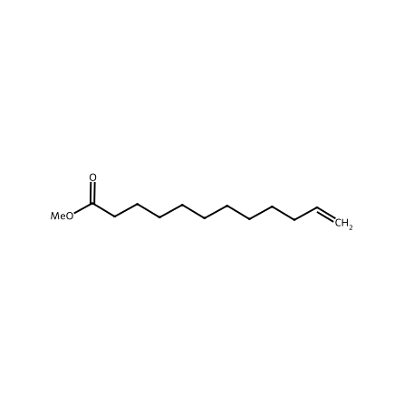 C=CCCCCCCCCCC(=O)OC